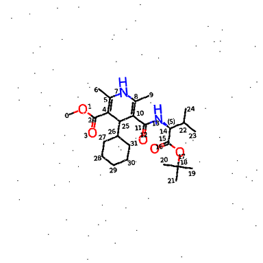 COC(=O)C1=C(C)NC(C)=C(C(=O)N[C@H](C(=O)OC(C)(C)C)C(C)C)C1C1CCCCC1